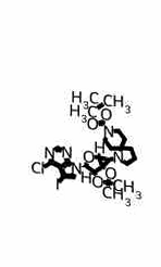 CC(C)(C)OC(=O)N1CCC2(CCCN2C2[C@H]3O[C@@H](n4cc(I)c5c(Cl)ncnc54)[C@@H]4OC(C)(C)O[C@]234)CC1